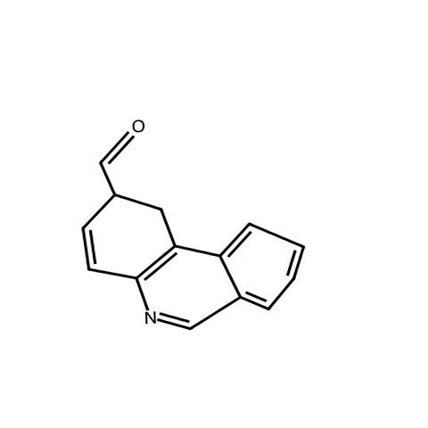 O=CC1C=Cc2ncc3ccccc3c2C1